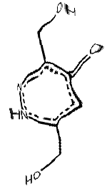 O=c1cc(CO)[nH]nc1CO